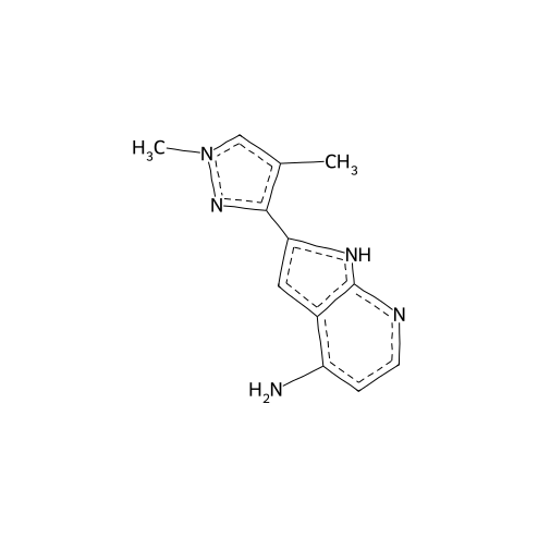 Cc1cn(C)nc1-c1cc2c(N)ccnc2[nH]1